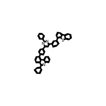 c1ccc(-c2nc(-c3ccc(-c4cccc5c(-c6ccccc6)nc6ccccc6c45)cc3)cc(-c3cccc(-c4cccc5c4sc4ccccc45)c3)n2)cc1